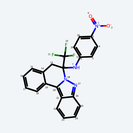 O=[N+]([O-])c1ccc(NC2(C(F)(F)F)Cc3ccccc3-c3c4ccccc4nn32)cc1